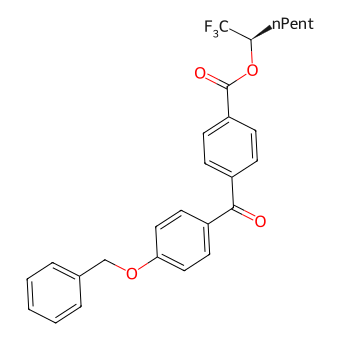 CCCCC[C@@H](OC(=O)c1ccc(C(=O)c2ccc(OCc3ccccc3)cc2)cc1)C(F)(F)F